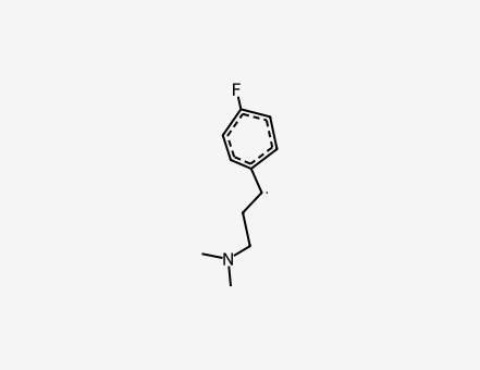 CN(C)CC[CH]c1ccc(F)cc1